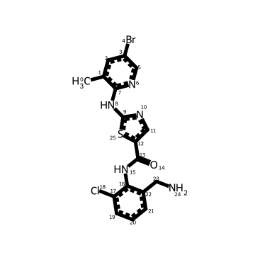 Cc1cc(Br)cnc1Nc1ncc(C(=O)Nc2c(Cl)cccc2CN)s1